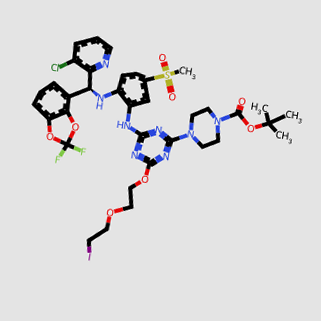 CC(C)(C)OC(=O)N1CCN(c2nc(Nc3cc(S(C)(=O)=O)ccc3N[C@@H](c3cccc4c3OC(F)(F)O4)c3ncccc3Cl)nc(OCCOCCI)n2)CC1